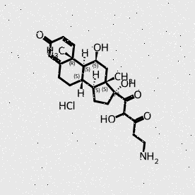 C[C@]12C=CC(=O)C=C1CC[C@@H]1[C@@H]2[C@@H](O)C[C@@]2(C)[C@H]1CC[C@]2(O)C(=O)C(O)C(=O)CCN.Cl